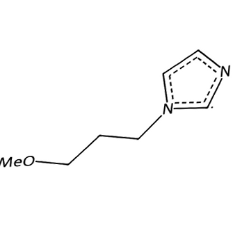 COCCCn1[c]ncc1